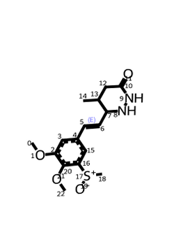 COc1cc(/C=C/C2NNC(=O)CC2C)cc([S+](C)[O-])c1OC